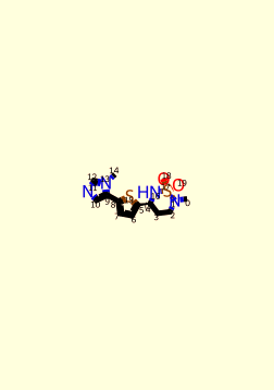 CN1CC[C@@H](c2ccc(-c3cncn3C)s2)NS1(=O)=O